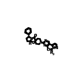 Cc1nc(N2CCC3(CC2)O[C@@H]2CC[C@@H](c4ccccc4)N2C3=O)ncc1-c1ccnn1C